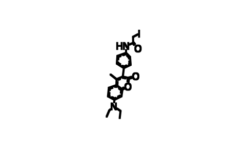 CCN(CC)c1ccc2c(C)c(-c3ccc(NC(=O)CI)cc3)c(=O)oc2c1